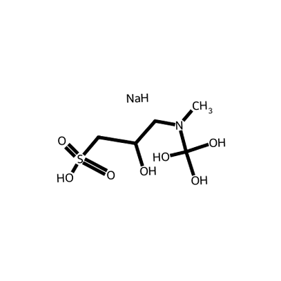 CN(CC(O)CS(=O)(=O)O)C(O)(O)O.[NaH]